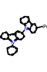 CC(C)c1ccc2c(c1)c1ccccc1n2-c1ccc2c(c1)c1ccccc1n2-c1ccccc1